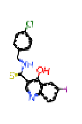 Oc1c(C(=S)NCc2ccc(Cl)cc2)cnc2ccc(I)cc12